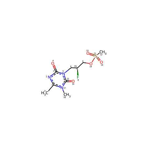 Cc1nc(=O)n(C[C@H](F)COS(C)(=O)=O)c(=O)n1C